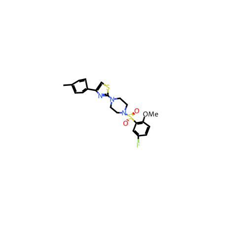 COc1ccc(F)cc1S(=O)(=O)N1CCN(c2nc(-c3ccc(C)cc3)cs2)CC1